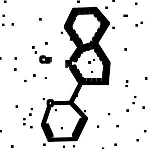 C1=COC(c2ccc3ccccc3n2)C=C1.[Ca]